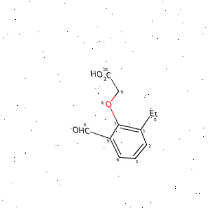 CCc1cccc(C=O)c1OCC(=O)O